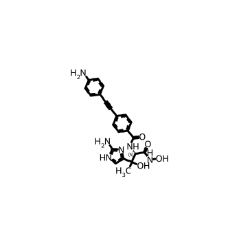 CC(O)(c1c[nH]c(N)n1)[C@H](NC(=O)c1ccc(C#Cc2ccc(N)cc2)cc1)C(=O)NO